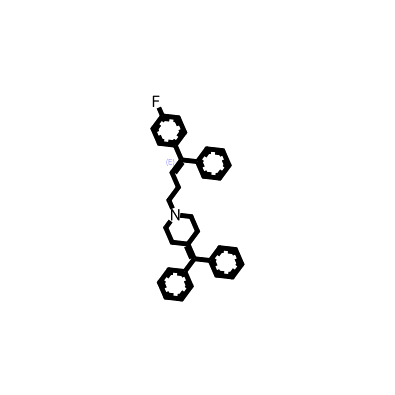 Fc1ccc(/C(=C/CCN2CCC(=C(c3ccccc3)c3ccccc3)CC2)c2ccccc2)cc1